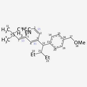 C\C=C/C(=C\C(C#N)=C\S(C)(C)C)C(c1ccc(COC)cc1)C(CC)CC